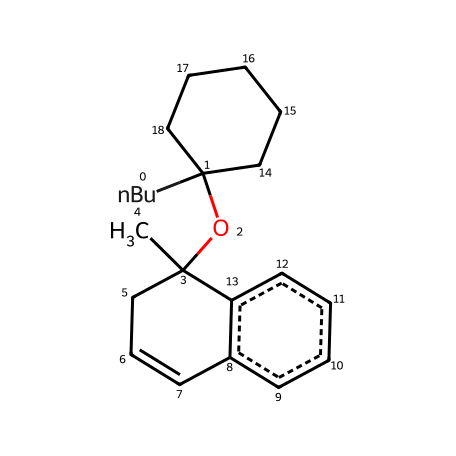 CCCCC1(OC2(C)CC=Cc3ccccc32)CCCCC1